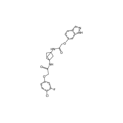 O=C(COc1ccc(Cl)c(F)c1)NC12CCC(NC(=O)COc3ccc4cn[nH]c4c3)(C1)C2